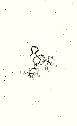 CC(C)(C)OC(=O)N1CCC(/C=N\[S+]([O-])C(C)(C)C)(c2ccccc2I)CC1